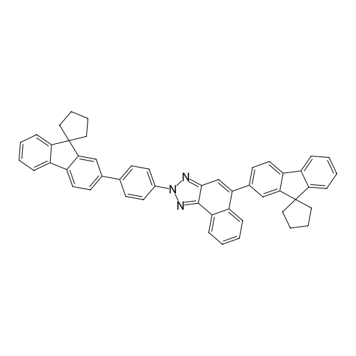 c1ccc2c(c1)-c1ccc(-c3ccc(-n4nc5cc(-c6ccc7c(c6)C6(CCCC6)c6ccccc6-7)c6ccccc6c5n4)cc3)cc1C21CCCC1